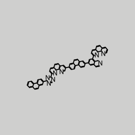 c1ccc2c(c1)ccc1cc(-c3ncnc(-c4ccc5ccc6cc(-c7ccc8c(ccc9cc(-c%10cc(-c%11ccc%12ccc%13cccnc%13c%12n%11)c%11cnccc%11c%10)ccc98)c7)cnc6c5n4)n3)ccc12